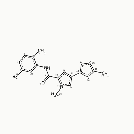 CC(=O)c1ccc(C)c(NC(=O)c2cc(-c3csc(C)n3)cn2C)c1